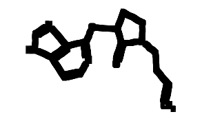 C=CCCN1CCC(Oc2nccc3[nH]cnc23)C1=O